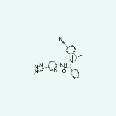 C[C@@H](CN[C@@H](C(=O)Nc1ccc(-c2cn(C)nn2)cn1)c1ccccc1)c1ccc(C#N)cc1